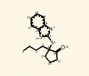 CCCCC1(Sc2nc3ccccc3s2)CCCC1=O